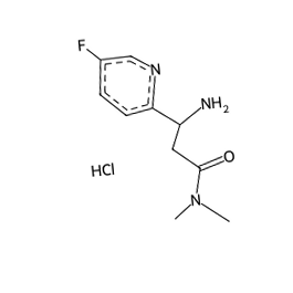 CN(C)C(=O)CC(N)c1ccc(F)cn1.Cl